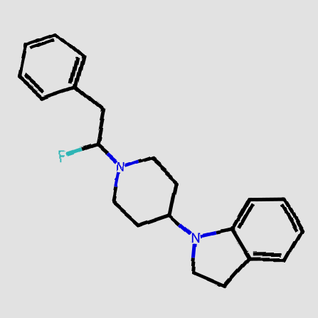 FC(Cc1ccccc1)N1CCC(N2CCc3ccccc32)CC1